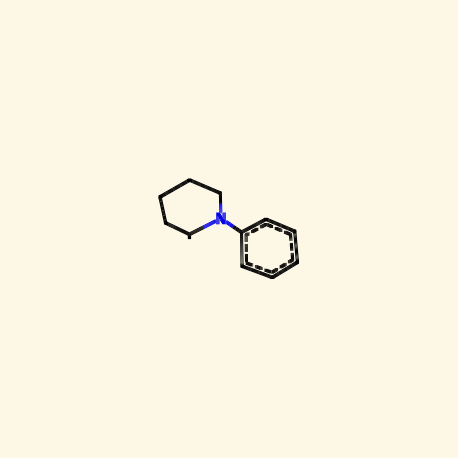 [CH]1CCCCN1c1ccccc1